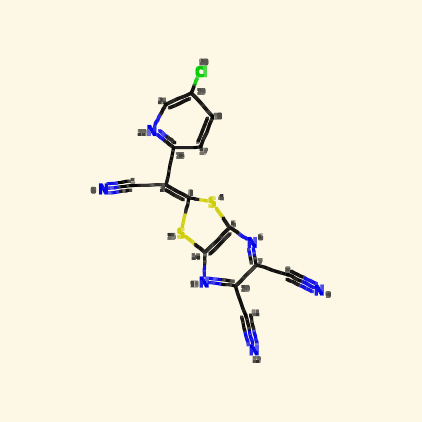 N#CC(=C1Sc2nc(C#N)c(C#N)nc2S1)c1ccc(Cl)cn1